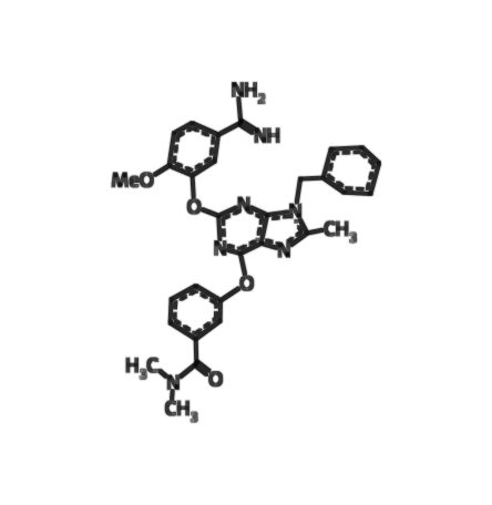 COc1ccc(C(=N)N)cc1Oc1nc(Oc2cccc(C(=O)N(C)C)c2)c2nc(C)n(Cc3ccccc3)c2n1